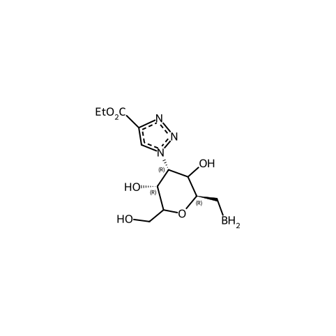 BC[C@H]1OC(CO)[C@H](O)[C@H](n2cc(C(=O)OCC)nn2)C1O